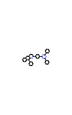 c1ccc(-c2nc(-c3ccccc3)nc(-c3ccc(-c4ccc5cc6ccccc6c(-c6ccccc6)c5n4)cc3)n2)cc1